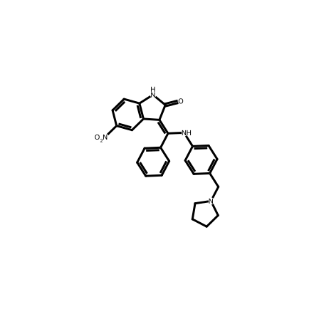 O=C1Nc2ccc([N+](=O)[O-])cc2C1=C(Nc1ccc(CN2CCCC2)cc1)c1ccccc1